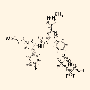 COCCN1C[C@@H](NC(=O)Nc2sc(-c3cnn(C)c3)nc2-c2ccccc2)[C@H](c2ccc(F)c(F)c2)C1.O=C(O)C(F)(F)F.O=C(O)C(F)(F)F